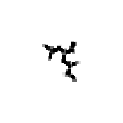 C=CC(C=C(C)C)CC(C)=CC